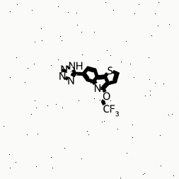 FC(F)(F)COc1nc2cc(-c3nnn[nH]3)ccc2c2sccc12